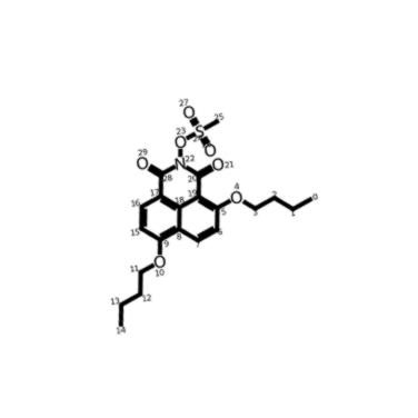 CCCCOc1ccc2c(OCCCC)ccc3c2c1C(=O)N(OS(C)(=O)=O)C3=O